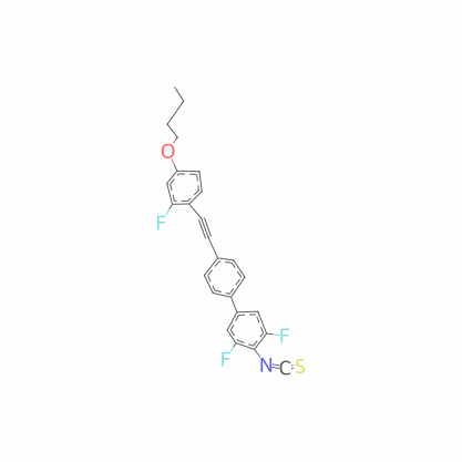 CCCCOc1ccc(C#Cc2ccc(-c3cc(F)c(N=C=S)c(F)c3)cc2)c(F)c1